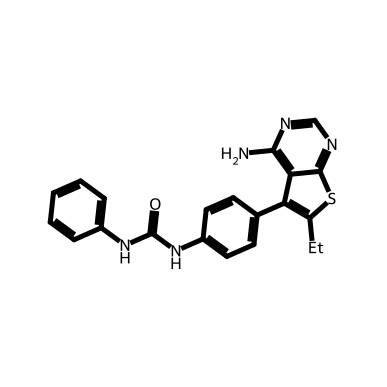 CCc1sc2ncnc(N)c2c1-c1ccc(NC(=O)Nc2ccccc2)cc1